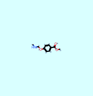 CNCOc1ccc(C(=O)OC)cc1